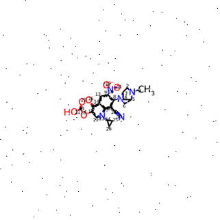 CN1CC2CC1CN2c1c([N+](=O)[O-])cc2c(=O)c(OC(=O)O)cn(C3CC3)c2c1C#N